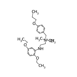 CCCOc1ccc(C[N+](C)(C)CCNc2cc(OCC)ccc2OCC)cc1.[Cl-]